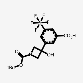 CC(C)(C)OC(=O)N1CC(O)(c2cc(C(=O)O)cc(S(F)(F)(F)(F)F)c2)C1